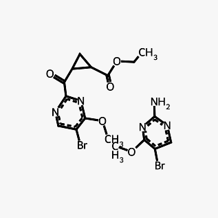 CCOC(=O)C1CC1C(=O)c1ncc(Br)c(OC)n1.COc1nc(N)ncc1Br